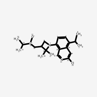 CC(C)c1ccc(N2CC(C[S+]([O-])C(C)C)C2(C)C)c2cnc(Cl)cc12